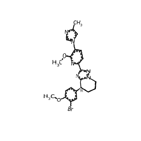 COc1ccc([C@@H]2CCCn3nc(-c4ccc(-n5cnc(C)c5)c(OC)n4)nc32)cc1Br